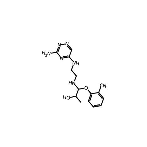 CC(O)C(NCCNc1cnnc(N)n1)Oc1ccccc1C#N